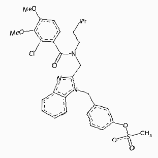 COc1ccc(C(=O)N(CCC(C)C)Cc2nc3ccccc3n2Cc2cccc(OS(C)(=O)=O)c2)c(Cl)c1OC